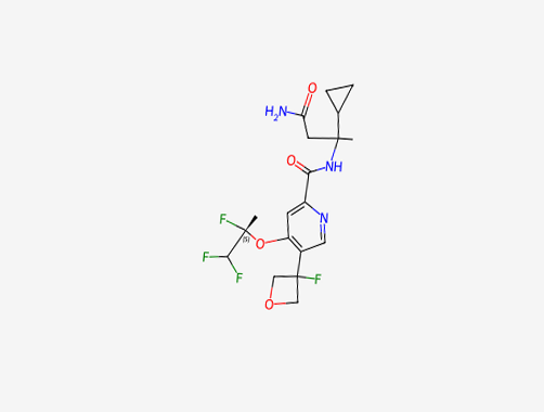 CC(CC(N)=O)(NC(=O)c1cc(O[C@@](C)(F)C(F)F)c(C2(F)COC2)cn1)C1CC1